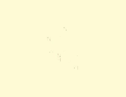 Cc1cnccc1-c1c2c([nH]c(=O)c1C#N)-c1cc(Cl)ccc1C2